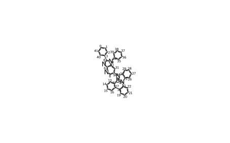 c1ccc(-c2nc3ncc(N4B5c6ccccc6-c6ccccc6N5c5ccccc54)cc3n2-c2ccccc2)cc1